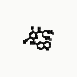 CCC(CC)Nc1nc(Nc2ccc3ncccc3c2)c(C#N)cc1F